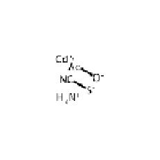 CC(=O)[O-].N#C[S-].[Cd+].[NH4+]